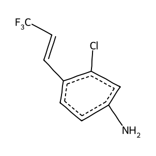 Nc1ccc(C=CC(F)(F)F)c(Cl)c1